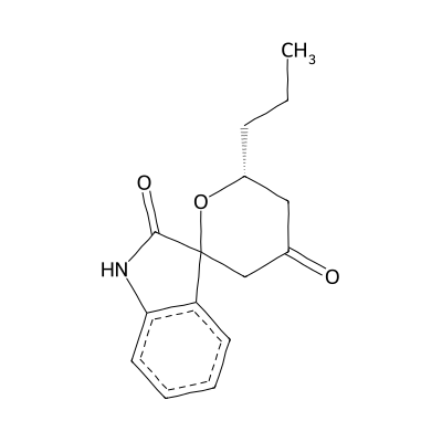 CCC[C@@H]1CC(=O)CC2(O1)C(=O)Nc1ccccc12